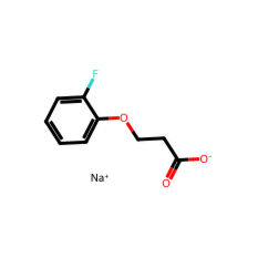 O=C([O-])CCOc1ccccc1F.[Na+]